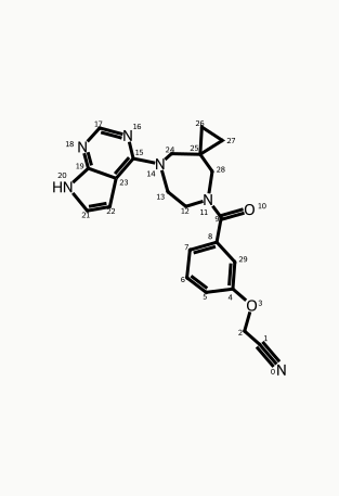 N#CCOc1cccc(C(=O)N2CCN(c3ncnc4[nH]ccc34)CC3(CC3)C2)c1